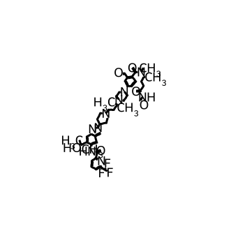 CC(CCC(=O)NC=O)N(C)C(=O)c1ccc(N2CCN(C(C)(C)CCN3CCC(n4cc5cc(NC(=O)c6cccc(C(F)(F)F)n6)c(C(C)(C)O)cc5n4)CC3)CC2)cc1C=O